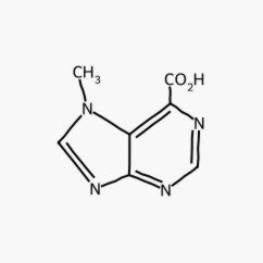 Cn1cnc2ncnc(C(=O)O)c21